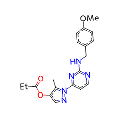 CCC(=O)Oc1cnn(-c2ccnc(NCc3ccc(OC)cc3)n2)c1C